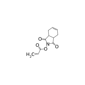 C=CC(=O)ON1C(=O)C2CC=CCC2C1=O